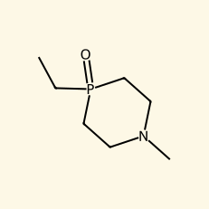 CCP1(=O)CCN(C)CC1